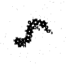 Cn1c(C(=O)N2CCN(Cc3ccc(OCC(F)(F)F)cc3)CC2)cc2ccc(Oc3ccc(NS(=O)(=O)c4ccccc4Br)cn3)cc21